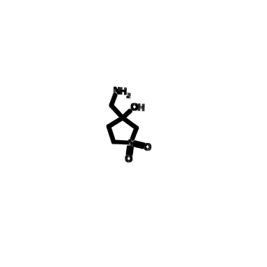 NCC1(O)CCS(=O)(=O)C1